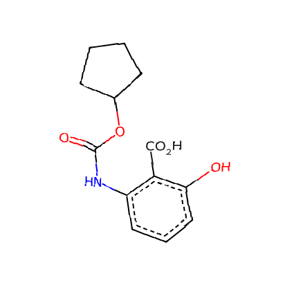 O=C(Nc1cccc(O)c1C(=O)O)OC1CCCC1